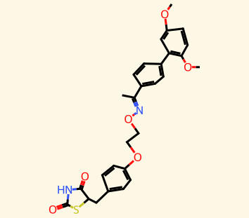 COc1ccc(OC)c(-c2ccc(C(C)=NOCCOc3ccc(CC4SC(=O)NC4=O)cc3)cc2)c1